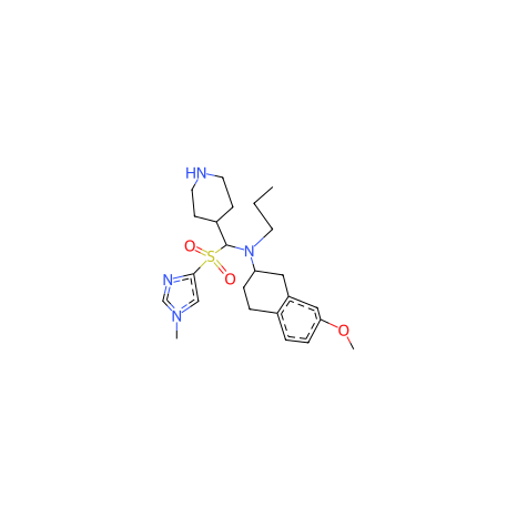 CCCN(C1CCc2ccc(OC)cc2C1)C(C1CCNCC1)S(=O)(=O)c1cn(C)cn1